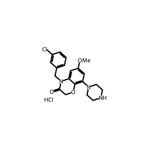 COc1cc(N2CCNCC2)c2c(c1)N(Cc1cccc(Cl)c1)C(=O)CO2.Cl